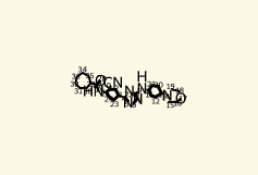 N#Cc1cc(-c2ncnc(Nc3ccc(N4CCOCC4)cc3)n2)ccc1NC(=O)C1CCCCCC1